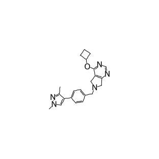 Cc1nn(C)cc1-c1ccc(CN2Cc3ncnc(OC4CCC4)c3C2)cc1